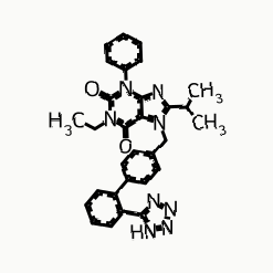 CCn1c(=O)c2c(nc(C(C)C)n2Cc2ccc(-c3ccccc3-c3nnn[nH]3)cc2)n(-c2ccccc2)c1=O